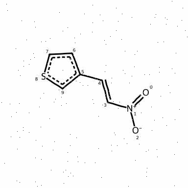 O=[N+]([O-])C=Cc1ccsc1